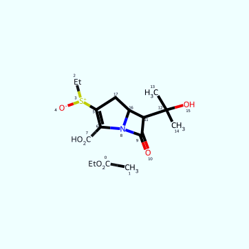 CCOC(C)=O.CC[S+]([O-])C1=C(C(=O)O)N2C(=O)C(C(C)(C)O)C2C1